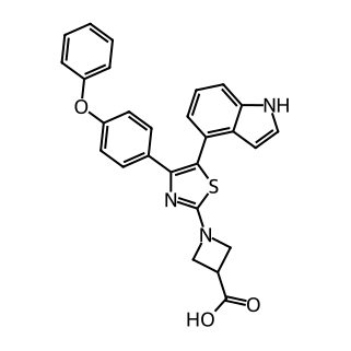 O=C(O)C1CN(c2nc(-c3ccc(Oc4ccccc4)cc3)c(-c3cccc4[nH]ccc34)s2)C1